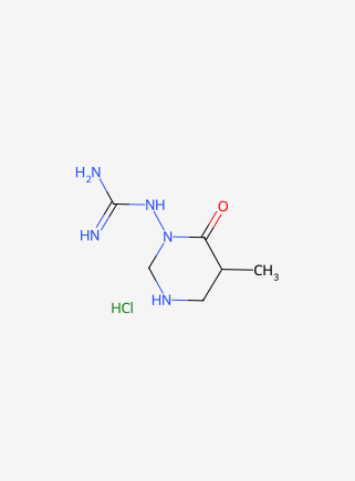 CC1CNCN(NC(=N)N)C1=O.Cl